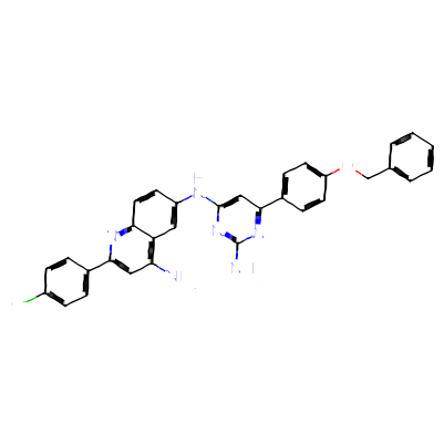 Nc1nc(Nc2ccc3nc(-c4ccc(Cl)cc4)cc(N)c3c2)cc(-c2ccc(OCc3ccccc3)cc2)n1